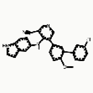 COc1ccc(-c2cncc(C#N)c2Nc2ccc3[nH]ccc3c2)cc1-c1cccc(Cl)c1